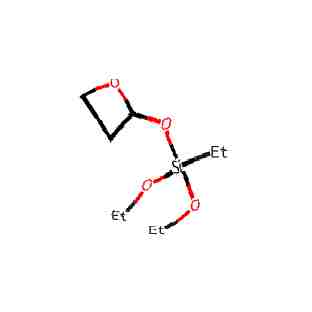 CCO[Si](CC)(OCC)OC1CCO1